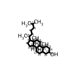 CC(C)CCC[C@@H](C)C1CC[C@H]2[C@@H]3CCC4CC(O)CC[C@]4(C)[C@H]3CC[C@]12C